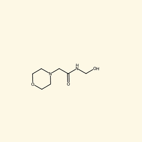 O=C(CN1CCOCC1)NCO